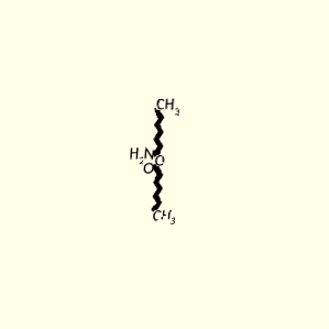 CCCCCCCC(=O)OC(N)CCCCCCC